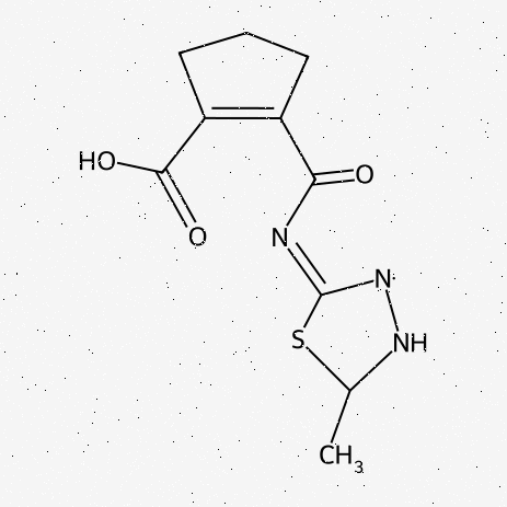 CC1N[N]C(=NC(=O)C2=C(C(=O)O)CCC2)S1